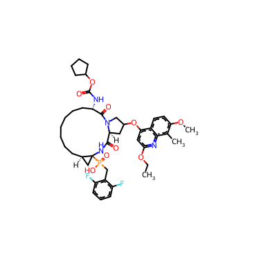 CCOc1cc(OC2C[C@H]3C(=O)N[C@]4(P(=O)(O)Cc5c(F)cccc5F)C[C@H]4CCCCCCC[C@H](NC(=O)OC4CCCC4)C(=O)N3C2)c2ccc(OC)c(C)c2n1